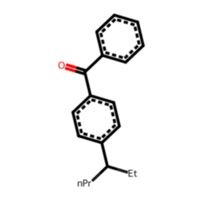 CCCC(CC)c1ccc(C(=O)c2ccccc2)cc1